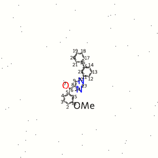 COc1cccc(C(=O)c2cn(-c3cccc(-c4ccccc4)c3)cn2)c1